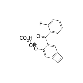 O=C(O)O.O=C(c1cc2c(cc1O)C=C2)c1ccccc1F